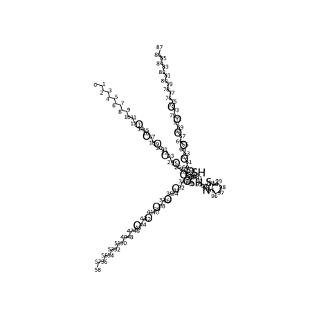 CCCCCCCCCCCCCOCCOCCOCCOCCOCCO[Si](OCCOCCOCCOCCOCCOCCCCCCCCCCCCC)(OCCOCCOCCOCCOCCOCCCCCCCCCCCCC)C(S)(S)CCc1nc2ccccc2s1